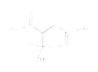 CC(C)COC(=O)CC(C(=O)OCC(C)C)C(C)(C)C(C)C